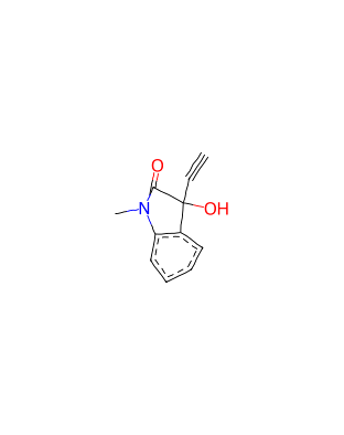 C#CC1(O)C(=O)N(C)c2ccccc21